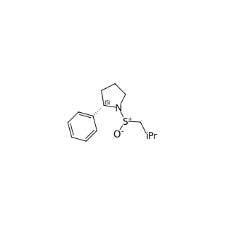 CC(C)C[S+]([O-])N1CCC[C@H]1c1ccccc1